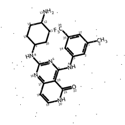 Cc1cc(Nc2nc(NC3CCC(N)CC3)nc3cc[nH]c(=O)c23)cc(C(F)(F)F)c1